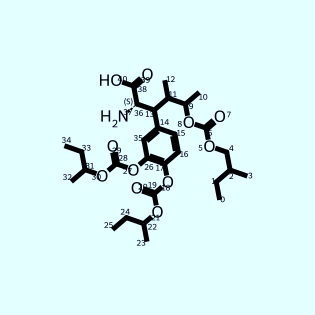 CCC(C)COC(=O)OC(C)C(C)C(c1ccc(OC(=O)OC(C)CC)c(OC(=O)OC(C)CC)c1)[C@H](N)C(=O)O